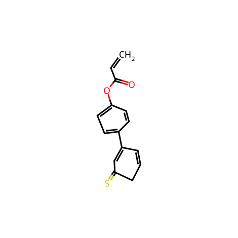 C=CC(=O)Oc1ccc(C2=CC(=S)CC=C2)cc1